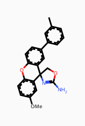 COc1ccc2c(c1)C1(COC(N)=N1)c1cc(-c3cccc(C)c3)ccc1O2